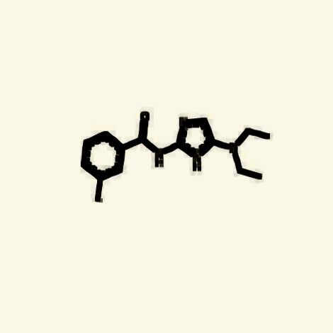 [CH2]c1cccc(C(=O)Nc2ncc(N(CC)CC)[nH]2)c1